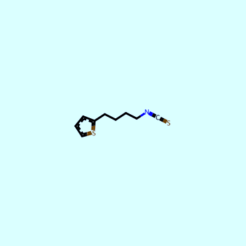 S=C=NCCCCc1cccs1